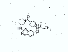 C=CC(=O)Nc1ccc(C(=O)N2CCCC(Nc3ncc4ccc(Cl)cc4n3)C2)cc1